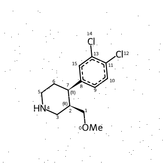 COC[C@H]1CNCC[C@H]1c1ccc(Cl)c(Cl)c1